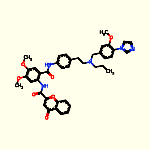 CCCN(CCc1ccc(NC(=O)c2cc(OC)c(OC)cc2NC(=O)c2cc(=O)c3ccccc3o2)cc1)Cc1ccc(-n2ccnc2)c(OC)c1